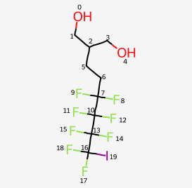 OCC(CO)CCC(F)(F)C(F)(F)C(F)(F)C(F)(F)I